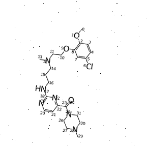 COc1ccc(Cl)cc1OCCN(C)CCCNc1nccc(C(=O)N2CCN(C)CC2)n1